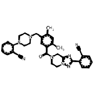 Cc1cc(C)c(C(=O)N2CCn3nc(-c4ccccc4C#N)nc3C2)cc1CN1CCN(c2ccccc2C#N)CC1